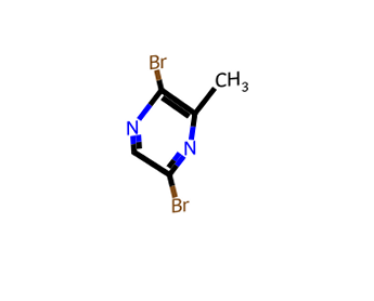 Cc1nc(Br)cnc1Br